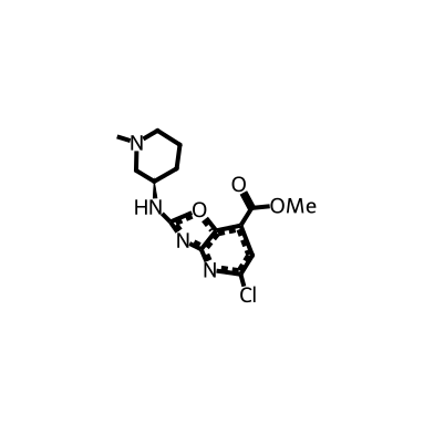 COC(=O)c1cc(Cl)nc2nc(N[C@@H]3CCCN(C)C3)oc12